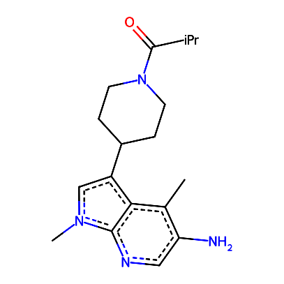 Cc1c(N)cnc2c1c(C1CCN(C(=O)C(C)C)CC1)cn2C